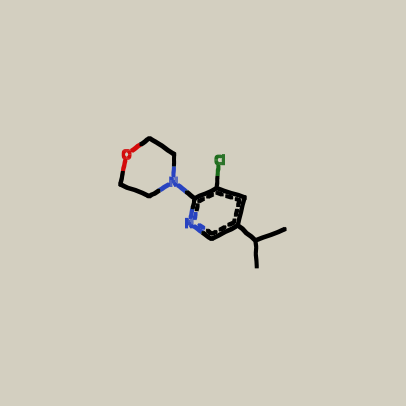 CC(C)c1cnc(N2CCOCC2)c(Cl)c1